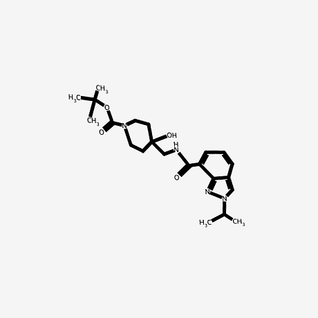 CC(C)n1cc2cccc(C(=O)NCC3(O)CCN(C(=O)OC(C)(C)C)CC3)c2n1